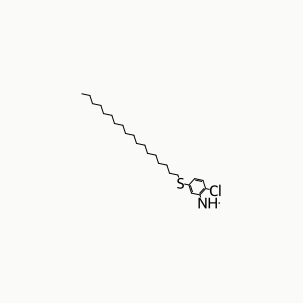 CCCCCCCCCCCCCCCCCCSc1ccc(Cl)c([NH])c1